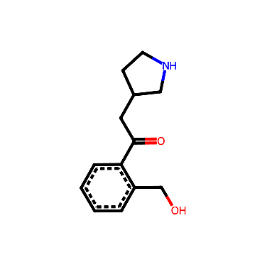 O=C(CC1CCNC1)c1ccccc1CO